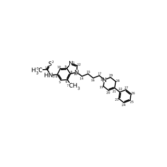 CC(=S)Nc1cc(C)c2c(c1)ncn2CCCCN1CC=C(c2ccccc2)CC1